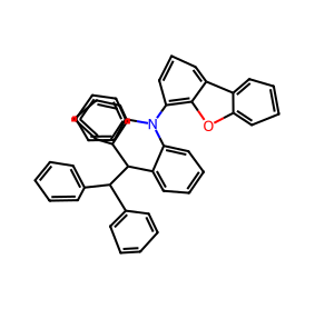 c1ccc(C(c2ccccc2)C(c2ccccc2)c2ccccc2N(c2ccccc2)c2cccc3c2oc2ccccc23)cc1